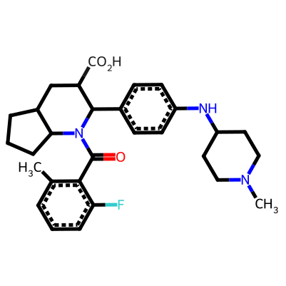 Cc1cccc(F)c1C(=O)N1C2CCCC2CC(C(=O)O)C1c1ccc(NC2CCN(C)CC2)cc1